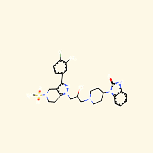 Cc1cc(-c2nn(CC(O)CN3CCC(n4c(=O)[nH]c5ccccc54)CC3)c3c2CN(S(C)(=O)=O)CC3)ccc1Cl